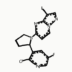 Fc1cnc(Cl)c(C2CCCN2c2ccn3ncc(I)c3n2)c1